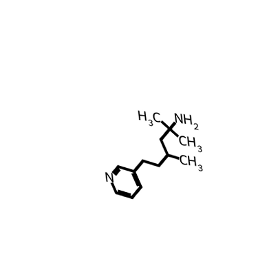 CC(CCc1cccnc1)CC(C)(C)N